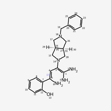 NC(N)=C(/C=C(\N)c1ccccc1O)N1C[C@H]2CN(Cc3ccccc3)C[C@H]2C1